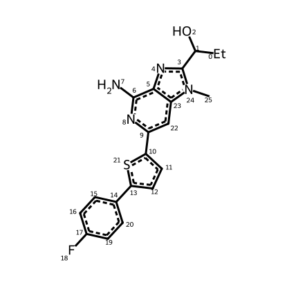 CCC(O)c1nc2c(N)nc(-c3ccc(-c4ccc(F)cc4)s3)cc2n1C